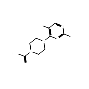 NC(=O)N1CCN(c2nc(N)ncc2F)CC1